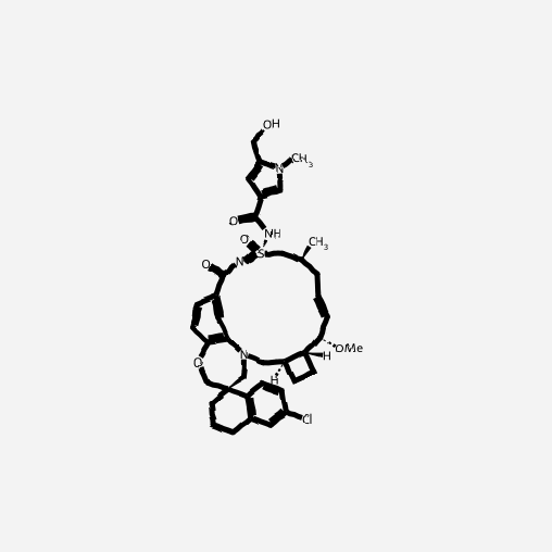 CO[C@H]1/C=C/C[C@H](C)C[S@@](=O)(NC(=O)c2cc(CO)n(C)c2)=NC(=O)c2ccc3c(c2)N(C[C@@H]2CC[C@H]21)C[C@@]1(CCCc2cc(Cl)ccc21)CO3